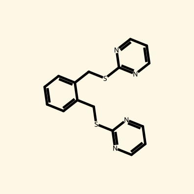 c1cnc(SCc2ccccc2CSc2ncccn2)nc1